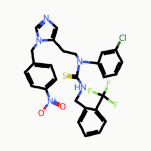 O=[N+]([O-])c1ccc(Cn2cncc2CCN(C(=S)NCc2ccccc2C(F)(F)F)c2cccc(Cl)c2)cc1